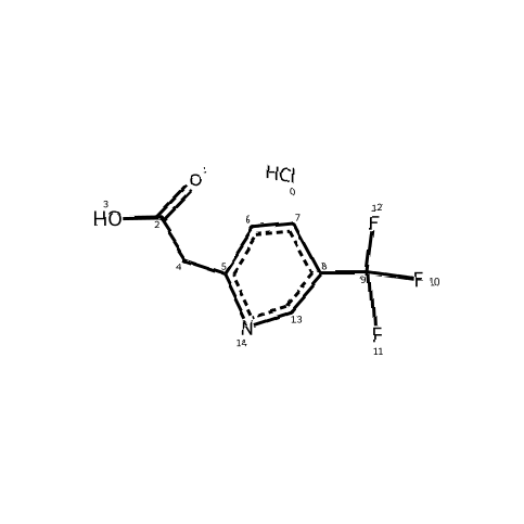 Cl.O=C(O)Cc1ccc(C(F)(F)F)cn1